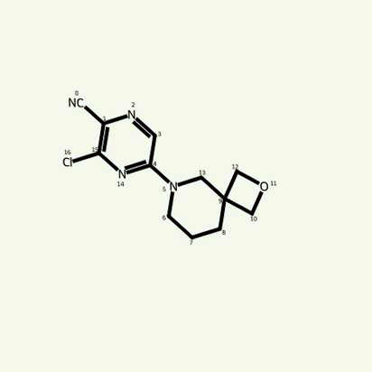 N#Cc1ncc(N2CCCC3(COC3)C2)nc1Cl